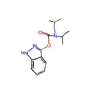 CC(C)N(C(=O)Oc1n[nH]c2ccccc12)C(C)C